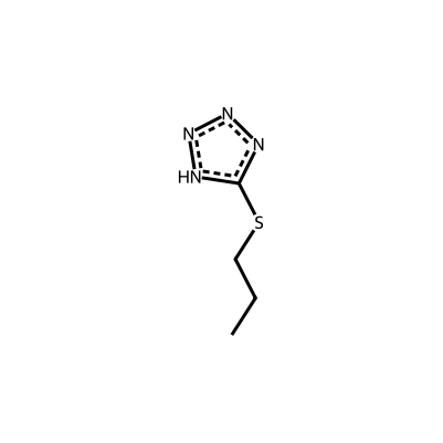 CCCSc1nnn[nH]1